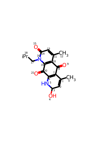 CC1=CC(O)NC2=C1C(=O)c1c(C)cc(=O)n(CC(C)C)c1C2=O